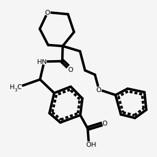 CC(NC(=O)C1(CCCOc2ccccc2)CCOCC1)c1ccc(C(=O)O)cc1